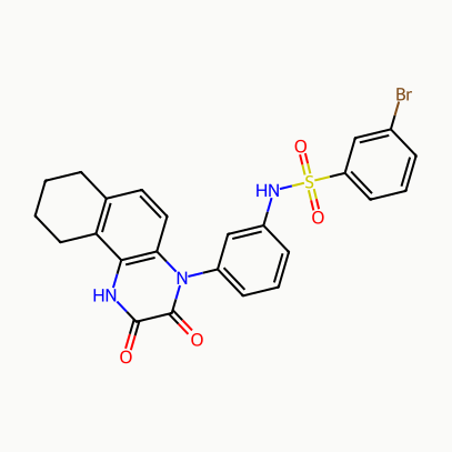 O=c1[nH]c2c3c(ccc2n(-c2cccc(NS(=O)(=O)c4cccc(Br)c4)c2)c1=O)CCCC3